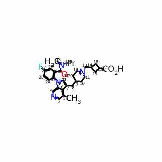 Cc1cncc2c1c(CC1CCN(CC3CC(C(=O)O)C3)CC1)cn2-c1ccc(F)cc1C(=O)N(C)C(C)C